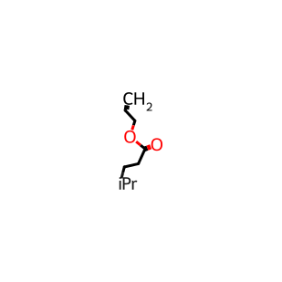 C=CCOC(=O)CCC(C)C